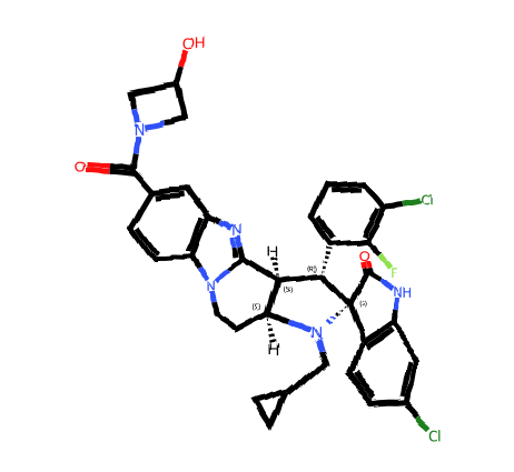 O=C(c1ccc2c(c1)nc1n2CC[C@H]2[C@@H]1[C@H](c1cccc(Cl)c1F)[C@]1(C(=O)Nc3cc(Cl)ccc31)N2CC1CC1)N1CC(O)C1